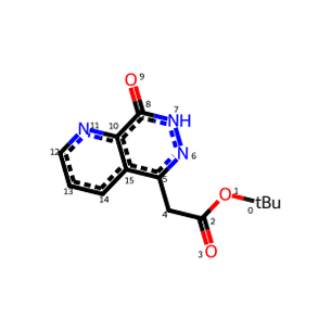 CC(C)(C)OC(=O)Cc1n[nH]c(=O)c2ncccc12